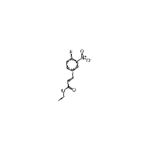 CCOC(=O)C=Cc1ccc(F)c([N+](=O)[O-])c1